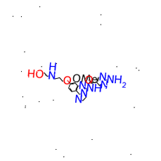 COc1c(OCCCNCCO)ccc2c1N=C(NC(=O)c1cnc(N)nc1)N1CCN=C21